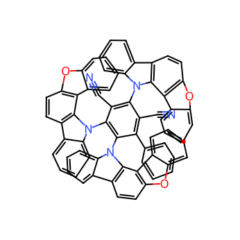 N#Cc1c(-c2ccccc2)c(-n2c3ccccc3c3ccc4oc5ccccc5c4c32)c(-n2c3ccccc3c3ccc4oc5ccccc5c4c32)c(C#N)c1-n1c2ccccc2c2ccc3oc4ccccc4c3c21